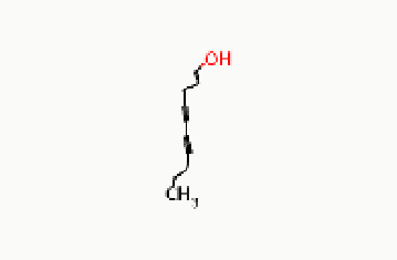 CCCC#CC#CCC=CO